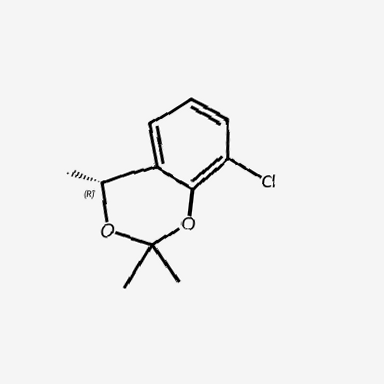 [CH2][C@H]1OC(C)(C)Oc2c(Cl)cccc21